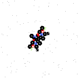 C[Si](C)(C)c1ccc(N(c2cc3c(c4ccccc24)-c2c(cc(N(c4ccc([Si](C)(C)C)cc4)c4cccc5c4oc4c(F)cccc45)c4ccccc24)C32c3ccccc3-n3c4ccccc4c4cccc2c43)c2cccc3c2oc2c(F)cccc23)cc1